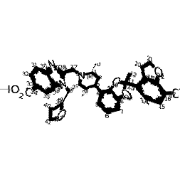 C[C@@H]1CC(c2cccc3c2OC(C)(c2ccc(C#N)c4c2CCO4)O3)CCN1Cc1nc2ccc(C(=O)O)cc2n1C[C@@H]1CCO1